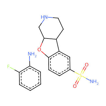 NS(=O)(=O)c1ccc2c(c1)C1CCNCC1O2.Nc1ccccc1F